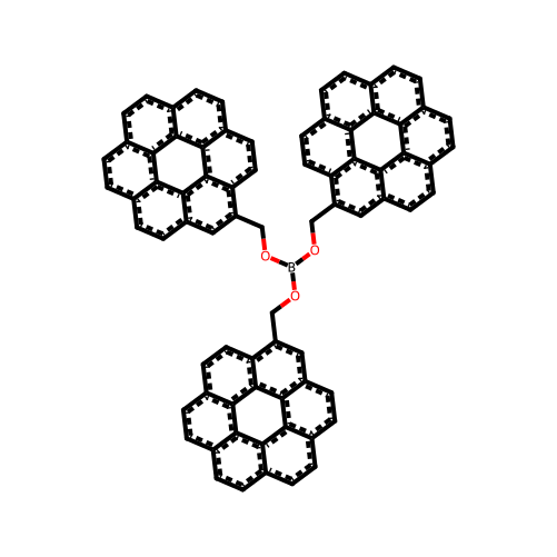 c1cc2ccc3ccc4c(COB(OCc5cc6ccc7ccc8ccc9ccc%10ccc5c5c%10c9c8c7c65)OCc5cc6ccc7ccc8ccc9ccc%10ccc5c5c%10c9c8c7c65)cc5ccc6ccc1c1c2c3c4c5c61